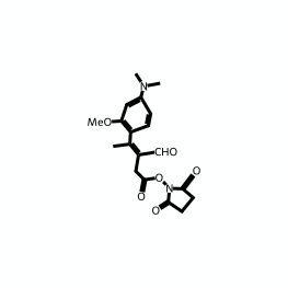 COc1cc(N(C)C)ccc1/C(C)=C(\C=O)CC(=O)ON1C(=O)CCC1=O